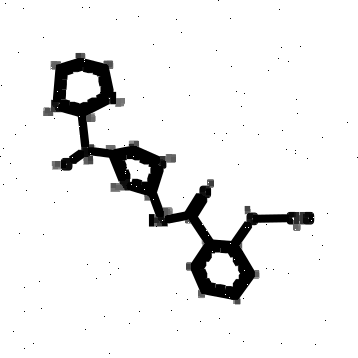 O=COc1ccccc1C(=O)Nc1nc([S+]([O-])c2ncccn2)cs1